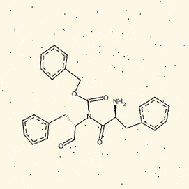 N[C@@H](Cc1ccccc1)C(=O)N(C(=O)OCc1ccccc1)[C@H](C=O)Cc1ccccc1